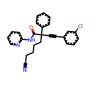 N#CCCCCC(C#Cc1cccc(Cl)c1)(C(=O)Nc1ccccn1)c1ccccc1